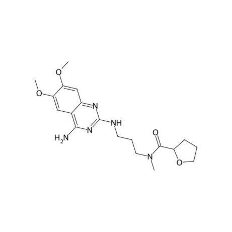 COc1cc2nc(NCCCN(C)C(=O)C3CCCO3)nc(N)c2cc1OC